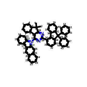 CC1(C)c2ccccc2-c2c(-n3c4ccccc4c4cc5ccccc5cc43)nc(-c3cccc4c3-c3ccccc3C4(c3ccccc3)c3ccccc3)nc21